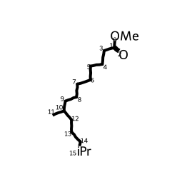 COC(=O)CCCCCCCC(C)CCCC(C)C